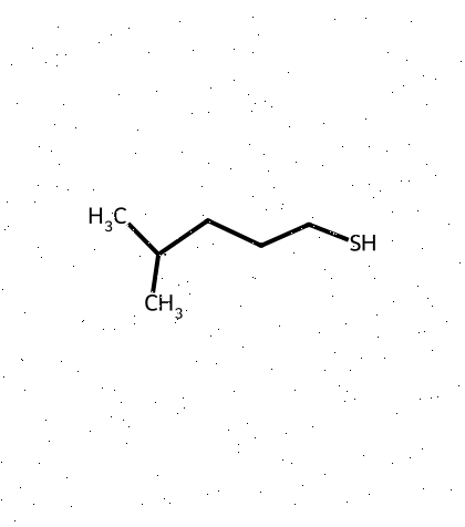 C[C](C)CCCS